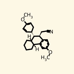 COC1=CCC([C@H]2[C@H]3CCCC[C@H]3c3cc(OC)ccc3[C@@H]2CC#N)C=C1